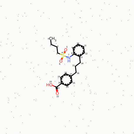 CCCCS(=O)(=O)Nc1ccccc1CCCc1ccc(C(=O)O)cc1